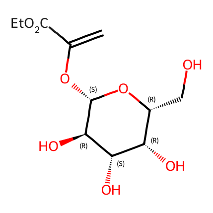 C=C(O[C@@H]1O[C@H](CO)[C@H](O)[C@H](O)[C@H]1O)C(=O)OCC